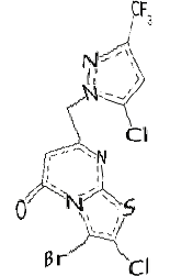 O=c1cc(Cn2nc(C(F)(F)F)cc2Cl)nc2sc(Cl)c(Br)n12